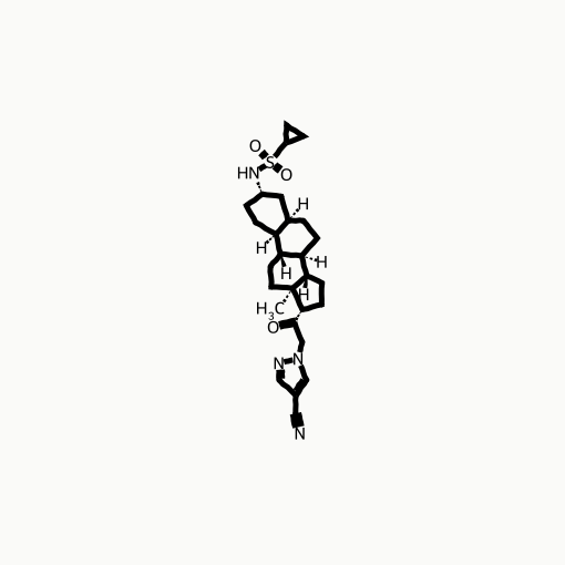 C[C@]12CC[C@H]3[C@@H](CC[C@@H]4C[C@@H](NS(=O)(=O)C5CC5)CC[C@@H]43)[C@@H]1CC[C@@H]2C(=O)Cn1cc(C#N)cn1